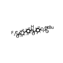 CC(C)(C)OC(=O)COc1ccc(C(=O)Nc2ccc(C3CCN(C(=O)C(F)(F)F)CC3)cc2)cc1